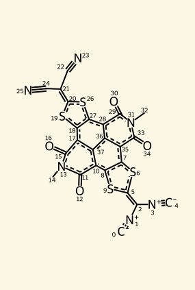 [C-]#[N+]C([N+]#[C-])=c1sc2c(s1)c1c(=O)n(C)c(=O)c3c4sc(=C(C#N)C#N)sc4c4c(=O)n(C)c(=O)c2c4c31